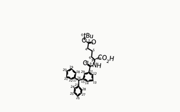 CC(C)(C)OC(=O)CCC[C@H](NC(=O)c1cccc(C(c2ccccc2)c2ccccc2)c1)C(=O)O